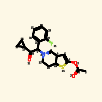 CC(=O)OC1=CC2C=[N+](C(C(=O)C3CC3)c3ccccc3F)CCC2S1